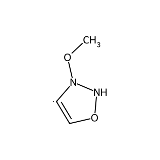 CON1[C]=CON1